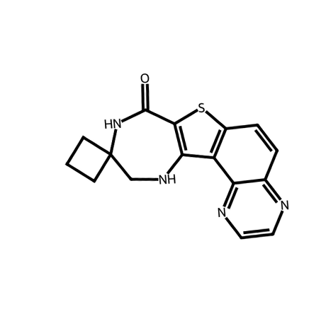 O=C1NC2(CCC2)CNc2c1sc1ccc3nccnc3c21